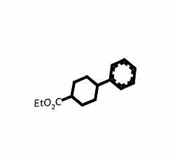 CCOC(=O)C1CCC(c2ccccc2)CC1